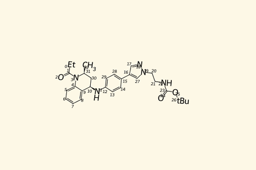 CCC(=O)N1c2ccccc2[C@H](Nc2ccc(-c3cnn(CCNC(=O)OC(C)(C)C)c3)cc2)C[C@@H]1C